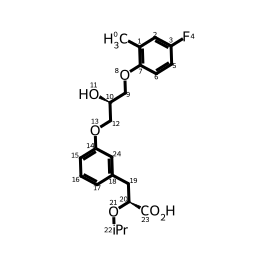 Cc1cc(F)ccc1OC[C@H](O)COc1cccc(C[C@H](OC(C)C)C(=O)O)c1